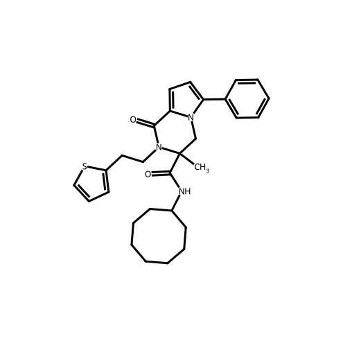 CC1(C(=O)NC2CCCCCCC2)Cn2c(ccc2-c2ccccc2)C(=O)N1CCc1cccs1